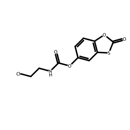 O=C(NCCCl)Oc1ccc2oc(=O)sc2c1